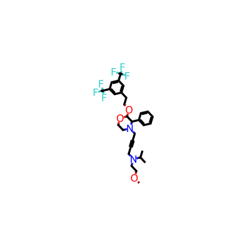 COCCN(CC#CCN1CCOC(OCCc2cc(C(F)(F)F)cc(C(F)(F)F)c2)C1c1ccccc1)C(C)C